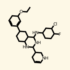 CCOC1C=C(C2CCC3NC(C4CC=CNC4)NC(NC4CCC(F)C(Cl)C4)C3C2)C=CC1